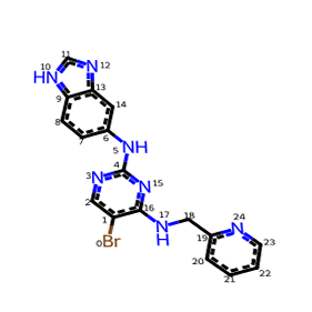 Brc1cnc(Nc2ccc3[nH]cnc3c2)nc1NCc1ccccn1